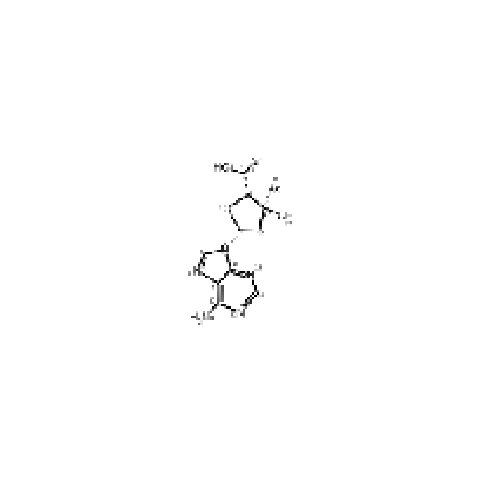 CC(=O)C(O)[C@H]1O[C@@H](n2cnc3c(N)ncnc32)C[C@@]1(O)C(C)=O